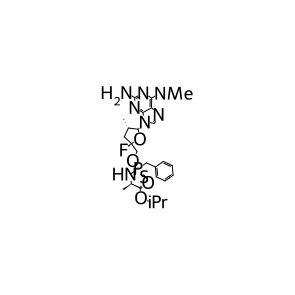 CNc1nc(N)nc2c1ncn2[C@@H]1O[C@](F)(COP(=S)(Cc2ccccc2)N[C@H](C)C(=O)OC(C)C)C[C@@H]1C